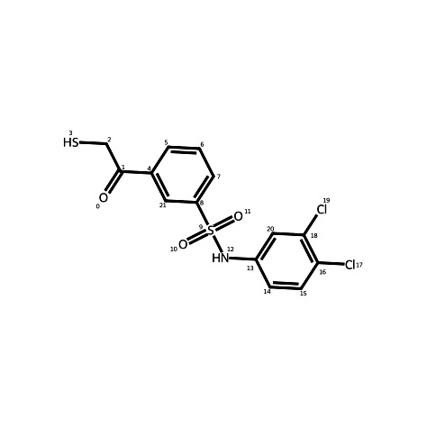 O=C(CS)c1cccc(S(=O)(=O)Nc2ccc(Cl)c(Cl)c2)c1